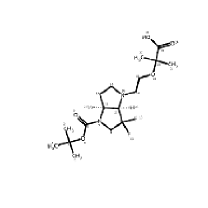 CC(C)(C)OC(=O)N1CC(F)(F)[C@H]2[C@@H]1CCN2CCOC(C)(C)C(=O)O